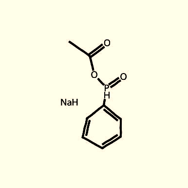 CC(=O)O[PH](=O)c1ccccc1.[NaH]